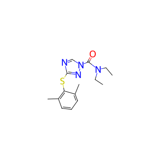 CCN(CC)C(=O)n1cnc(Sc2c(C)cccc2C)n1